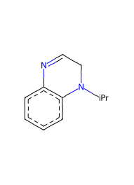 CC(C)N1CC=Nc2ccccc21